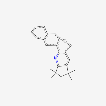 CC1(C)CC(C)(C)c2nc3c(ccc4cc5ccccc5cc43)cc21